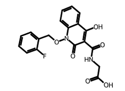 O=C(O)CNC(=O)c1c(O)c2ccccc2n(OCc2ccccc2F)c1=O